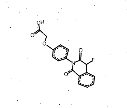 O=C(O)COc1ccc(N2C(=O)c3ccccc3C(F)C2=O)cc1